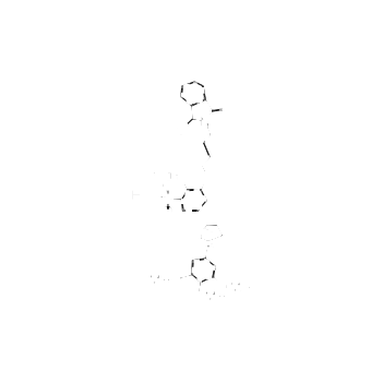 CCCOc1c(OCC=CCN2C(=O)c3ccccc3C2=O)cc([C@@H]2CC[C@@H](c3cc(OC)c(OC)c(OC)c3)O2)cc1S(C)(=O)=O